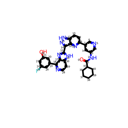 O=C(Nc1cncc(-c2ccc3[nH]nc(-c4nc5c(-c6cc(O)cc(F)c6)nccc5[nH]4)c3n2)c1)C1CCCCC1